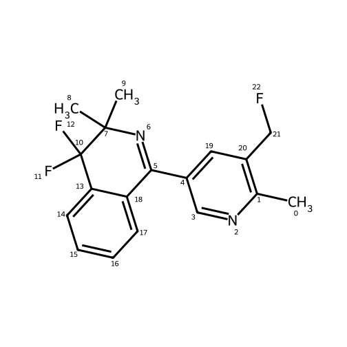 Cc1ncc(C2=NC(C)(C)C(F)(F)c3ccccc32)cc1CF